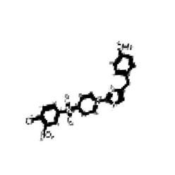 COc1ccc(Cc2csc(N3CCC(S(=O)(=O)c4ccc(Cl)c([N+](=O)[O-])c4)CC3)n2)cc1